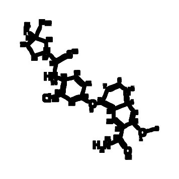 COc1cc2nccc(Oc3ccc(NC(=S)N4CCC(F)(F)C4)c(Cl)c3)c2cc1C(N)=O